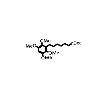 CCCCCCCCCCCCCCCCc1c(OC)c(OC)cc(OC)c1OC